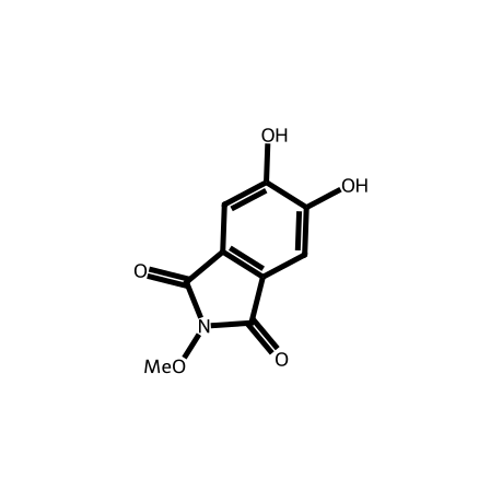 CON1C(=O)c2cc(O)c(O)cc2C1=O